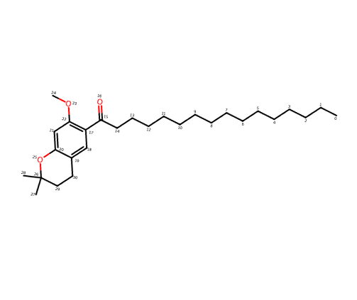 CCCCCCCCCCCCCCCC(=O)c1cc2c(cc1OC)OC(C)(C)CC2